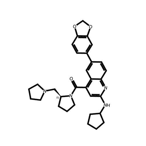 O=C(c1cc(NC2CCCC2)nc2ccc(-c3ccc4c(c3)OCO4)cc12)N1CCC[C@H]1CN1CCCC1